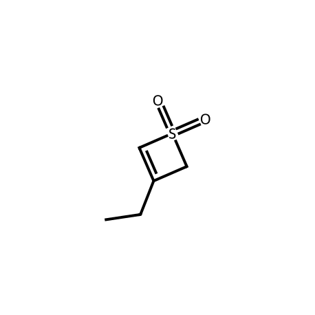 CCC1=CS(=O)(=O)C1